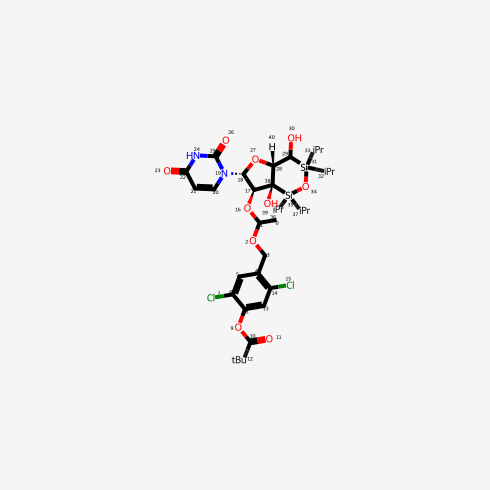 CC(OCc1cc(Cl)c(OC(=O)C(C)(C)C)cc1Cl)O[C@H]1[C@H](n2ccc(=O)[nH]c2=O)O[C@@H]2C(O)[Si](C(C)C)(C(C)C)O[Si](C(C)C)(C(C)C)[C@@]21O